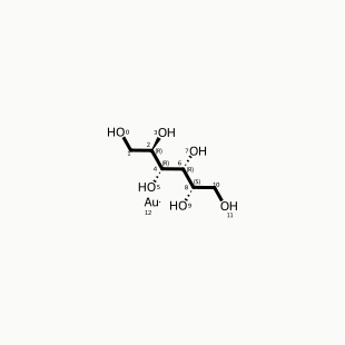 OC[C@@H](O)[C@@H](O)[C@H](O)[C@@H](O)CO.[Au]